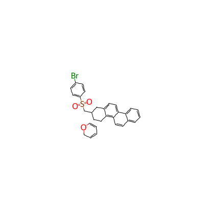 C1=CCOC=C1.O=S(=O)(CC1CCc2c(ccc3c2ccc2ccccc23)C1)c1ccc(Br)cc1